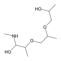 CNC(O)C(C)OCC(C)OCC(C)O